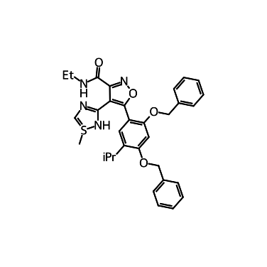 CCNC(=O)c1noc(-c2cc(C(C)C)c(OCc3ccccc3)cc2OCc2ccccc2)c1C1=NC=S(C)N1